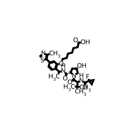 Cc1ncsc1-c1ccc(C(C)NC(=O)[C@@H]2C[C@@H](O)CN2C(=O)C(NC(=O)C2(F)CC2)C(C)(C)C)c(OCCCCCCC(=O)O)c1